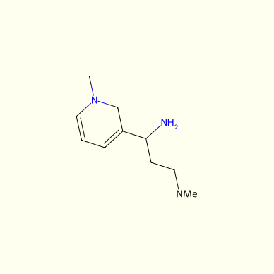 CNCCC(N)C1=CC=CN(C)C1